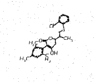 Cc1cc(C)c(C2=C(O)CC(C(C)CSc3ccccc3Cl)OC2=O)c(C)c1